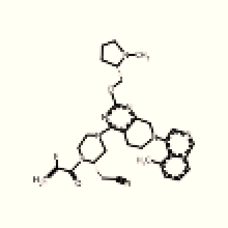 C=C(F)C(=O)N1CCN(c2nc(OC[C@@H]3CCCN3C)nc3c2CCN(c2cncc4cccc(C)c24)C3)C[C@@H]1CC#N